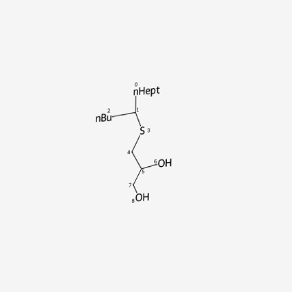 CCCCCCCC(CCCC)SCC(O)CO